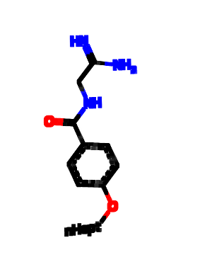 CCCCCCCOc1ccc(C(=O)NCC(=N)N)cc1